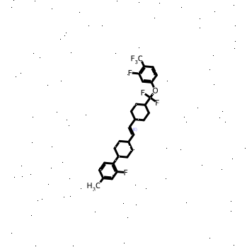 Cc1ccc(C2CCC(/C=C/C3CCC(C(F)(F)Oc4ccc(C(F)(F)F)c(F)c4)CC3)CC2)c(F)c1